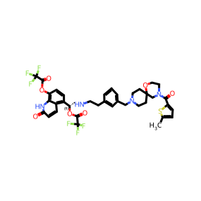 Cc1ccc(C(=O)N2CCOC3(CCN(Cc4cccc(CCNC[C@H](OC(=O)C(F)(F)F)c5ccc(OC(=O)C(F)(F)F)c6[nH]c(=O)ccc56)c4)CC3)C2)s1